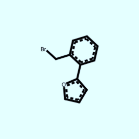 BrCc1ccccc1-c1ccco1